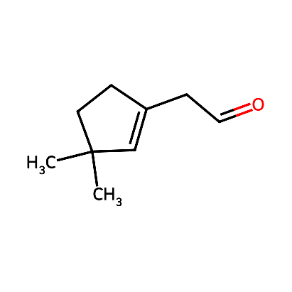 CC1(C)C=C(CC=O)CC1